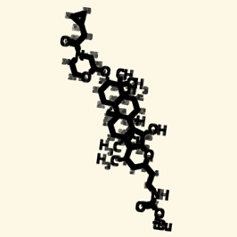 C[C@@H]1CC(CCNC(=O)OC(C)(C)C)OC2C1[C@@]1(C)CCC34C[C@@]35CC[C@H](OC3CN(C(=O)CC6CC6)CCO3)C(C)(C)[C@@H]5CC[C@H]4[C@]1(C)[C@H]2O